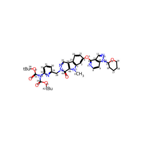 Cn1c2cc(Oc3nccc4c3cnn4C3CCCCO3)ccc2c2cnn(Cc3cccc(N(C(=O)OC(C)(C)C)C(=O)OC(C)(C)C)n3)c(=O)c21